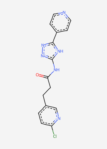 O=C(CCc1ccc(Cl)nc1)Nc1nnc(-c2ccncc2)[nH]1